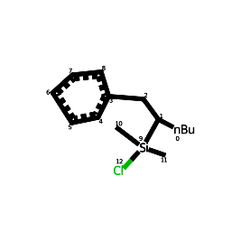 CCCCC(Cc1ccccc1)[Si](C)(C)Cl